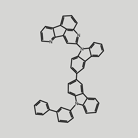 c1ccc(-c2cccc(-n3c4ccccc4c4cc(-c5ccc6c(c5)c5ccccc5n6-c5cc6c7c(cccc7n5)-c5cccnc5-6)ccc43)c2)cc1